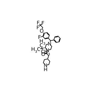 CC(C)(C)[C@H]1CN(C(c2ccccc2)c2ccc(OCC(F)(F)F)c(F)c2)CCN1C(=O)CC1CCNCC1